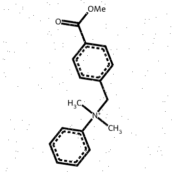 COC(=O)c1ccc(C[N+](C)(C)c2ccccc2)cc1